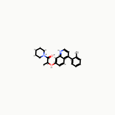 CCc1ccccc1-c1ccnc2cc(OC(C)C(=O)N3CCCCC3)ccc12